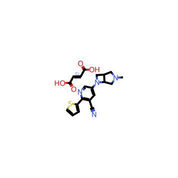 CN1CC2CN(c3cnc(-c4cccs4)c(C#N)c3)C2C1.O=C(O)/C=C/C(=O)O